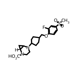 CS(=O)(=O)c1ccc(OCC2CCC(N3CCN(C(=O)O)[C@@H]4CC43)CC2)c(F)c1